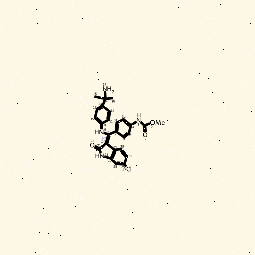 COC(=O)Nc1ccc(/C(Nc2ccc(C(C)(C)N)cc2)=C2/C(=O)Nc3cc(Cl)ccc32)cc1